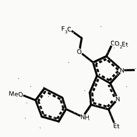 CCOC(=O)c1c(OCC(F)(F)F)c2cc(Nc3ccc(OC)cc3)c(CC)nc2n1C